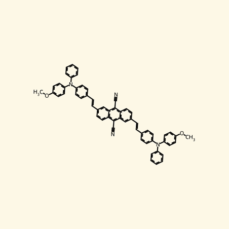 COc1ccc(N(c2ccccc2)c2ccc(C=Cc3ccc4c(C#N)c5cc(C=Cc6ccc(N(c7ccccc7)c7ccc(OC)cc7)cc6)ccc5c(C#N)c4c3)cc2)cc1